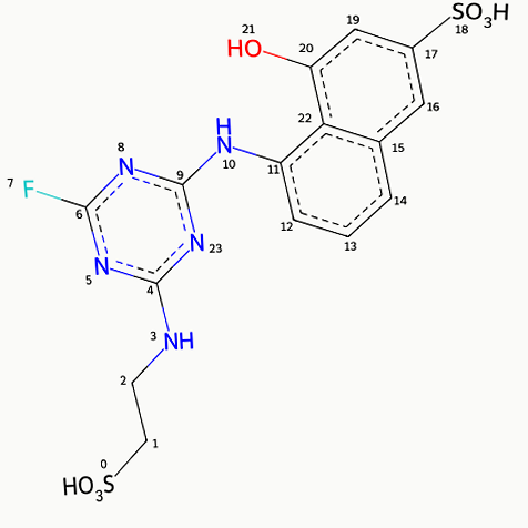 O=S(=O)(O)CCNc1nc(F)nc(Nc2cccc3cc(S(=O)(=O)O)cc(O)c23)n1